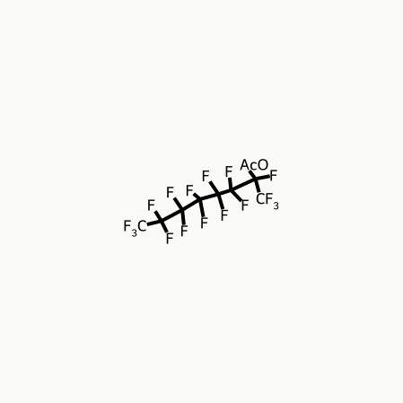 CC(=O)OC(F)(C(F)(F)F)C(F)(F)C(F)(F)C(F)(F)C(F)(F)C(F)(F)C(F)(F)F